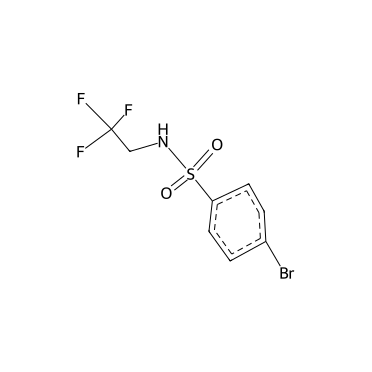 O=S(=O)(NCC(F)(F)F)c1ccc(Br)cc1